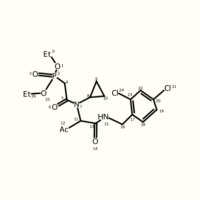 CCOP(=O)(CC(=O)N(C1CC1)C(C(C)=O)C(=O)NCc1ccc(Cl)cc1Cl)OCC